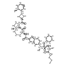 CCCOC(=O)[C@H](C)N[P@@](=O)(Oc1ccccc1)[C@H](F)c1ccc2sc(C(=O)N[C@H]3CCC[C@H]4CC[C@@H](C(=O)N5CC(c6cnccc6F)C5)N4C3=O)cc2c1